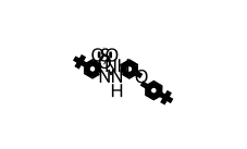 CC(C)(C)c1ccc(COc2cccc(NC(=Nc3ccc(C(C)(C)C)cc3)NOS(C)(=O)=O)c2)cc1